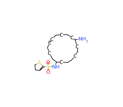 NC1CCCCCCCCCC(NS(=O)(=O)C2=CCCS2)CCCCCC1